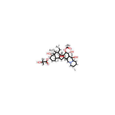 CC[C@@H](C)C(=O)OC1[C@H](O)C2[C@@H](CN3C[C@@H](C)CCC3[C@@]2(C)O)C2CC3(O)[C@@H](C(CC(C)=O)C(OC(C)=O)[C@@H]4[C@@H](O)[C@@H](OC(=O)C(C)(O)CC)CC[C@@]43C)C12O